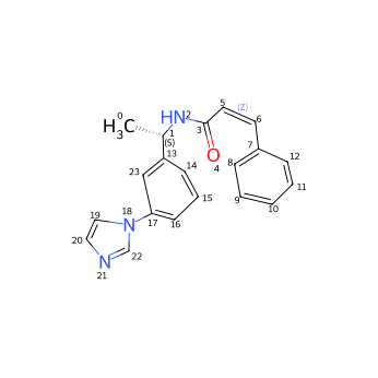 C[C@H](NC(=O)/C=C\c1ccccc1)c1cccc(-n2ccnc2)c1